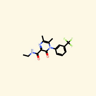 CCNC(=O)c1nc(C)c(C)n(-c2cccc(C(F)(F)F)c2)c1=O